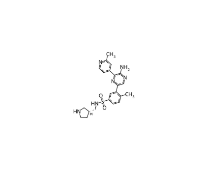 Cc1cc(-c2nc(-c3cc(S(=O)(=O)NC[C@@H]4CCNC4)ccc3C)cnc2N)ccn1